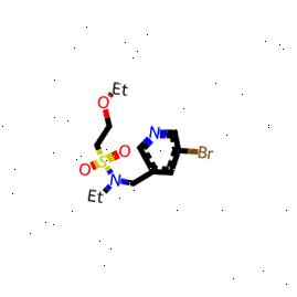 CCOCCS(=O)(=O)N(CC)Cc1cncc(Br)c1